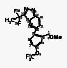 COCc1cc(OC(F)(F)F)ccc1-c1ccc2nnc(C(C)(F)F)n2n1